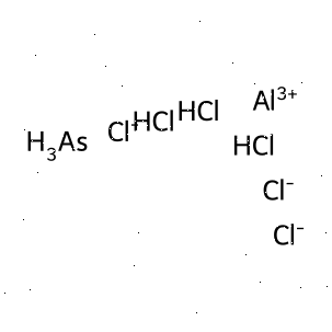 Cl.Cl.Cl.[Al+3].[AsH3].[Cl-].[Cl-].[Cl-]